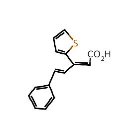 O=C(O)C=C(C=Cc1ccccc1)c1cccs1